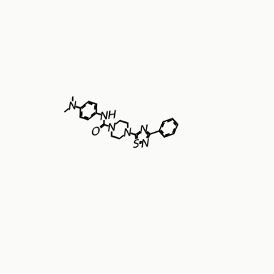 CN(C)c1ccc(NC(=O)N2CCN(c3nc(-c4ccccc4)ns3)CC2)cc1